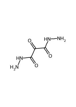 NNC(=O)C(=O)C(=O)NN